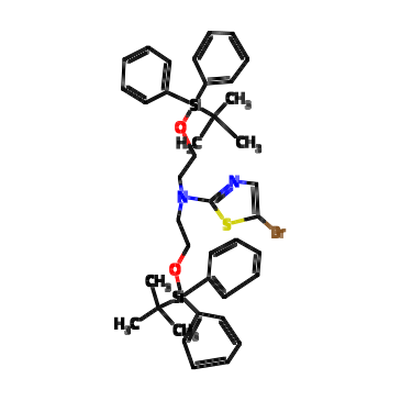 CC(C)(C)[Si](OCCN(CCO[Si](c1ccccc1)(c1ccccc1)C(C)(C)C)c1ncc(Br)s1)(c1ccccc1)c1ccccc1